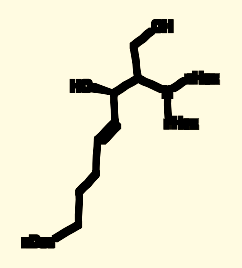 CCCCCCCCCCCCC/C=C/[C@@H](O)C(CO)N(CCCCCC)CCCCCC